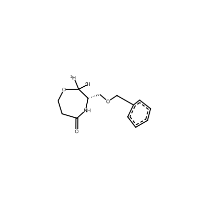 [2H]C1([2H])OCCC(=O)N[C@H]1COCc1ccccc1